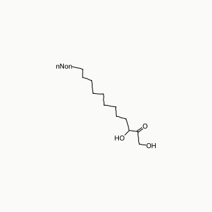 CCCCCCCCCCCCCCCCCCC(O)C(=O)CO